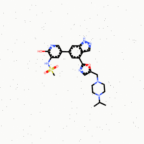 CC(C)N1CCN(Cc2cnc(-c3cc(-c4cnc(O)c(NS(C)(=O)=O)c4)cc4[nH]ncc34)o2)CC1